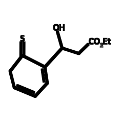 CCOC(=O)CC(O)C1=CC=CCC1=S